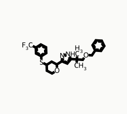 CC(C)(COCc1ccccc1)c1cc(C2CC(Sc3cccc(C(F)(F)F)c3)CCO2)n[nH]1